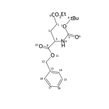 CCOC(=O)CCC(NC(=O)OC(C)(C)C)C(=O)OCc1ccccc1